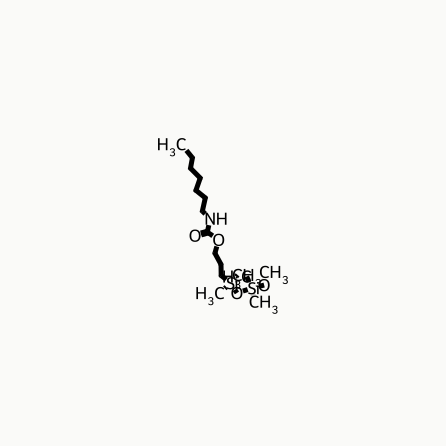 CCCCCCCNC(=O)OCCC[Si](C)(C)O[Si](C)(C)OC